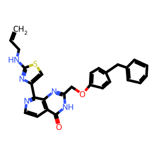 C=CCNc1nc(-c2nccc3c(=O)[nH]c(COc4ccc(Cc5ccccc5)cc4)nc23)cs1